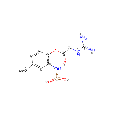 COc1ccc(OC(=O)CNC(=N)N)c(N[SH](=O)=O)c1